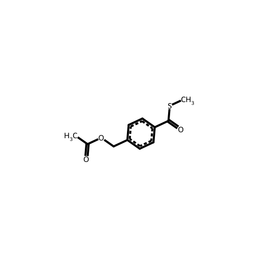 CSC(=O)c1ccc(COC(C)=O)cc1